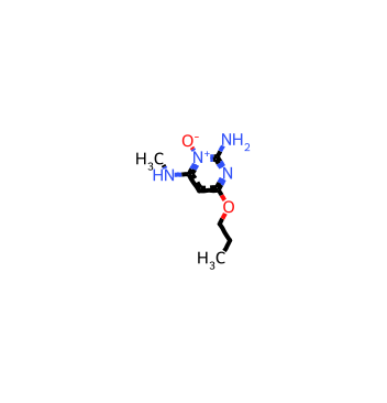 CCCOc1cc(NC)[n+]([O-])c(N)n1